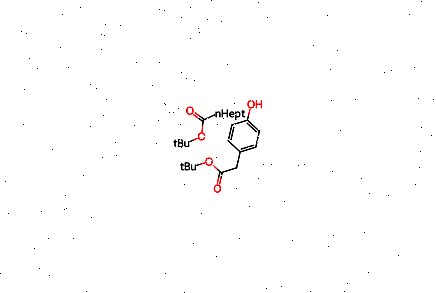 CC(C)(C)OC(=O)Cc1ccc(O)cc1.CCCCCCCC(=O)OC(C)(C)C